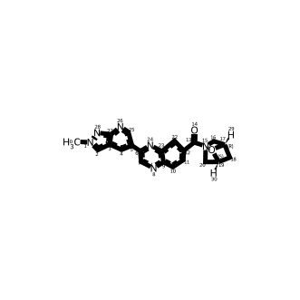 Cn1cc2cc(-c3cnc4ccc(C(=O)N5C[C@H]6C[C@@H](C5)O6)cc4n3)cnc2n1